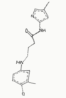 Cc1cnc(NC(=O)CCCNc2ccc(Cl)c(C)c2)s1